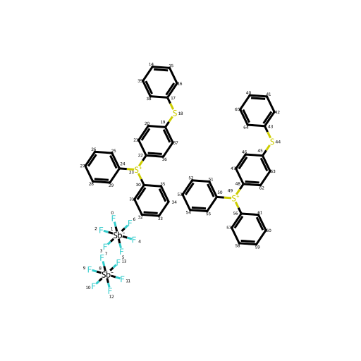 [F][Sb-]([F])([F])([F])([F])[F].[F][Sb-]([F])([F])([F])([F])[F].c1ccc(Sc2ccc([S+](c3ccccc3)c3ccccc3)cc2)cc1.c1ccc(Sc2ccc([S+](c3ccccc3)c3ccccc3)cc2)cc1